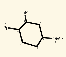 COC1CCC(C(C)C)C(C(C)C)C1